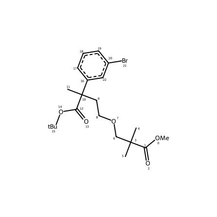 COC(=O)C(C)(C)COCCC(C)(C(=O)OC(C)(C)C)c1cccc(Br)c1